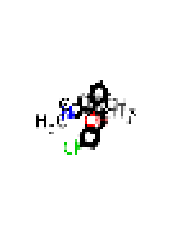 CC(=Cc1ccc(Cl)cc1)C(O)(c1ccccc1C)C(C)CN(C)C